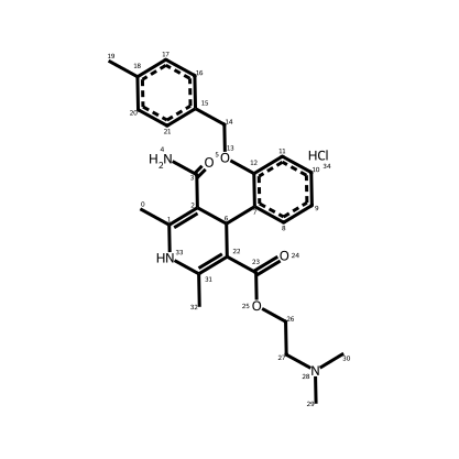 CC1=C(C(N)=O)C(c2ccccc2OCc2ccc(C)cc2)C(C(=O)OCCN(C)C)=C(C)N1.Cl